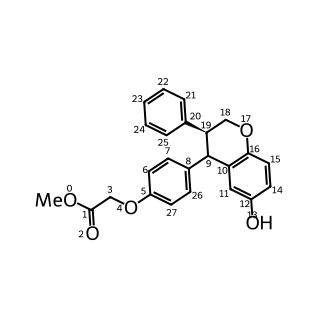 COC(=O)COc1ccc(C2c3cc(O)ccc3OC[C@@H]2c2ccccc2)cc1